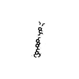 CCCCN(CCCC)c1ccc2cc(-c3cnc(-c4ccc5c(c4)C(C)(C)c4cc(-c6cc7cc8c9c(c7oc6=O)C(C)(C)CCN9CCC8(C)C)ccc4-5)cn3)c(=O)oc2c1